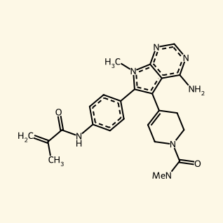 C=C(C)C(=O)Nc1ccc(-c2c(C3=CCN(C(=O)NC)CC3)c3c(N)ncnc3n2C)cc1